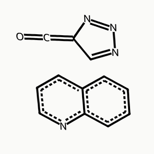 O=C=C1C=NN=N1.c1ccc2ncccc2c1